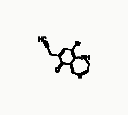 C#CCC1=CC(Br)=C2NCC=NC=C2C1=O